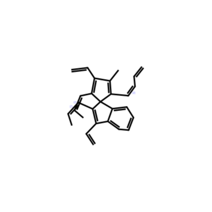 C=C/C=C\C1=C(C)C(C=C)=C(/C=C\C)C12C(/C=C\C)=C(C=C)c1ccccc12